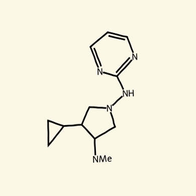 CNC1CN(Nc2ncccn2)CC1C1CC1